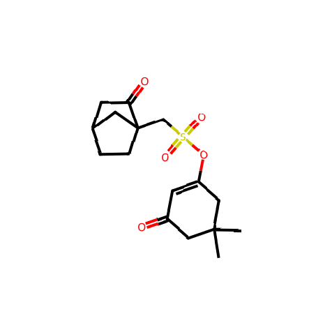 CC1(C)CC(=O)C=C(OS(=O)(=O)CC23CCC(CC2=O)C3)C1